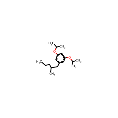 CCCC(C)Cc1cc(OC(C)C)cc(OC(C)C)c1